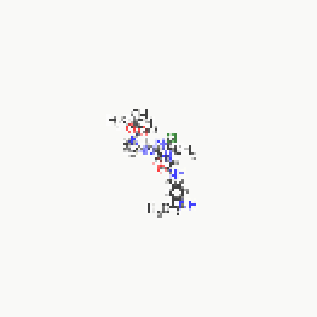 Cc1c[nH]c2ccc(CNC(=O)Cn3c(C)c(Cl)nc(NC[C@@H]4CCCN4C(=O)OC(C)(C)C)c3=O)cc12